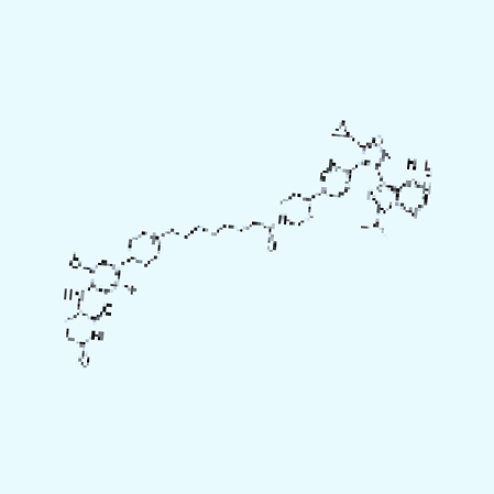 COc1cc(C2CCN(CCCCCCCC(=O)N3CCC(c4ccc(-c5c(-c6nn(C(C)C)c7ncnc(N)c67)noc5C5CC5)nc4)CC3)CC2)c(F)cc1NC1CCC(=O)NC1=O